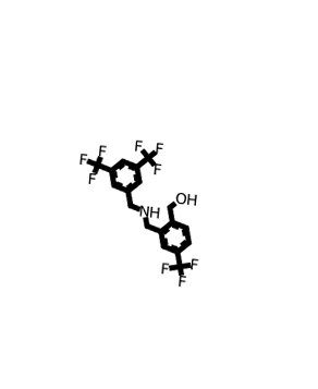 OCc1ccc(C(F)(F)F)cc1CNCc1cc(C(F)(F)F)cc(C(F)(F)F)c1